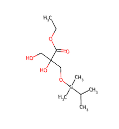 CCOC(=O)C(O)(CO)CO[Si](C)(C)C(C)C